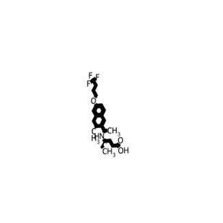 CC[C@H](CCC(=O)O)NC(C)C1=Cc2ccc(OCCCC(F)(F)F)cc2C[C@@H]1C